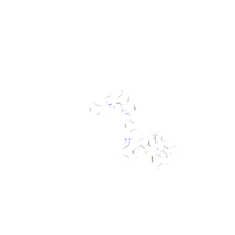 c1ccc(-c2ccc3ccc4ccc(-c5ccc(-c6nc7ccccc7c7c8c(ccc67)C6(c7ccccc7S8)c7ccccc7-c7ccccc76)cc5)nc4c3n2)cc1